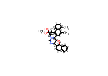 COC1(O)C2(C)c3c(cc(C)c4c(C)cccc34)C3=[N+](C=NC4c5ccc6ccccc6c5OC34)C12C